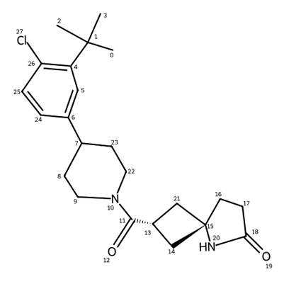 CC(C)(C)c1cc(C2CCN(C(=O)[C@H]3C[C@]4(CCC(=O)N4)C3)CC2)ccc1Cl